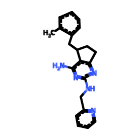 Cc1ccccc1CC1CCc2nc(NCc3ccccn3)nc(N)c21